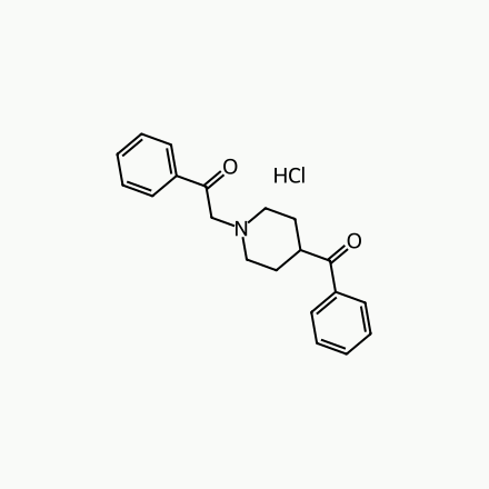 Cl.O=C(CN1CCC(C(=O)c2ccccc2)CC1)c1ccccc1